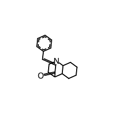 O=C1C(=Cc2ccccc2)N2CCC1C1CCCCC12